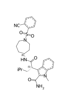 CC(C)C[C@H](C(=O)N[C@@H]1CCCN(S(=O)(=O)c2ccccc2C#N)CC1)c1c(C(N)=O)n(C)c2ccccc12